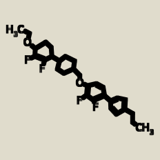 CCCc1ccc(-c2ccc(OCC3CCC(C4CCC(OCC)C(F)=C4F)CC3)c(F)c2F)cc1